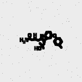 Cc1ccc(Oc2ccc3nc(CNCC(N)=O)n(CC(C)(C)O)c3c2)cc1